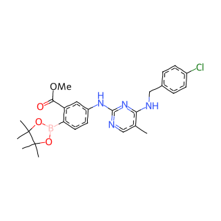 COC(=O)c1cc(Nc2ncc(C)c(NCc3ccc(Cl)cc3)n2)ccc1B1OC(C)(C)C(C)(C)O1